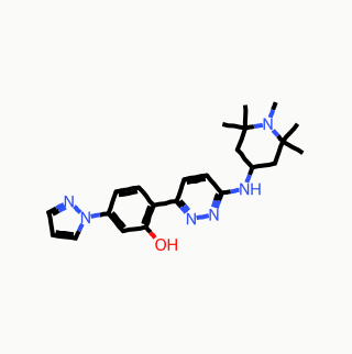 CN1C(C)(C)CC(Nc2ccc(-c3ccc(-n4cccn4)cc3O)nn2)CC1(C)C